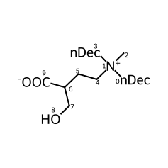 CCCCCCCCCC[N+](C)(CCCCCCCCCC)CCC(CO)C(=O)[O-]